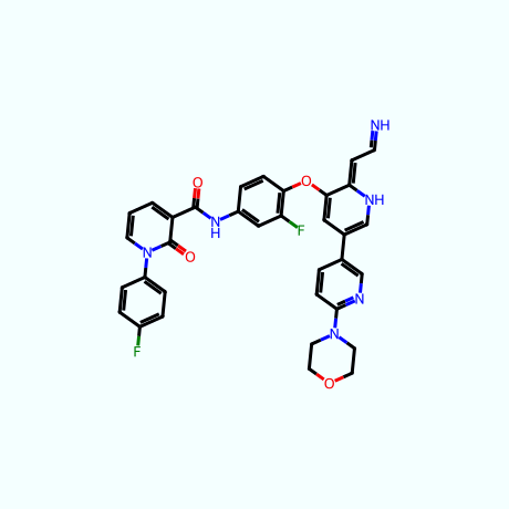 N=C/C=C1\NC=C(c2ccc(N3CCOCC3)nc2)C=C1Oc1ccc(NC(=O)c2cccn(-c3ccc(F)cc3)c2=O)cc1F